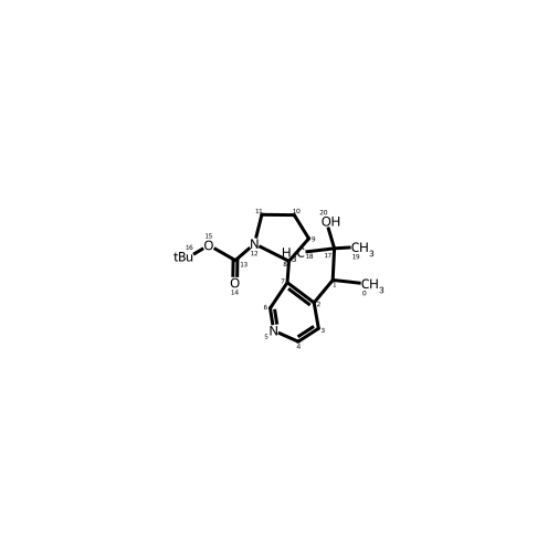 CC(c1ccncc1C1CCCN1C(=O)OC(C)(C)C)C(C)(C)O